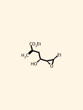 C=C(C[C@H](O)[C@@H]1O[C@@H]1CC)C(=O)OCC